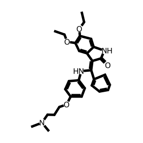 CCOc1cc2c(cc1OCC)C(=C(Nc1ccc(OCCCN(C)C)cc1)c1ccccc1)C(=O)N2